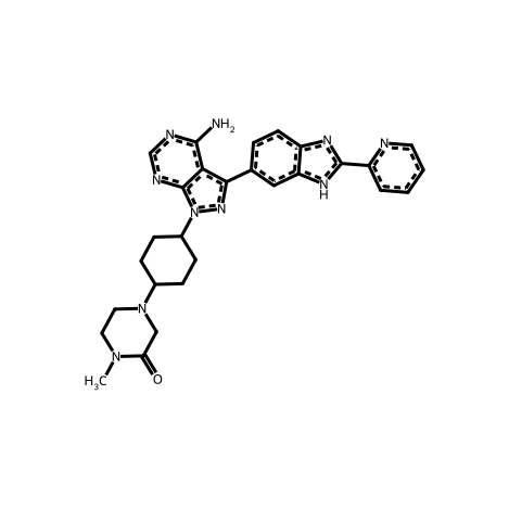 CN1CCN(C2CCC(n3nc(-c4ccc5nc(-c6ccccn6)[nH]c5c4)c4c(N)ncnc43)CC2)CC1=O